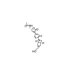 CC(=O)NC[C@H]1CN(c2ccc(N3C[C@H]4CN(CCO)C[C@H]43)c(F)c2)C(=O)O1